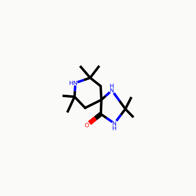 CC1(C)CC2(CC(C)(C)N1)NC(C)(C)NC2=O